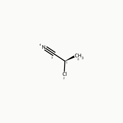 C[C@@H](Cl)C#N